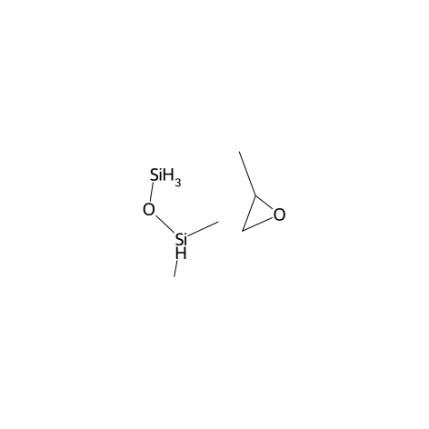 CC1CO1.C[SiH](C)O[SiH3]